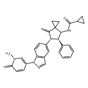 Cn1cc(-n2ncc3cc(N4C(=O)C5(CC5)C(NC(=O)C5CC5)[C@H]4c4ccccc4)ccc32)ccc1=O